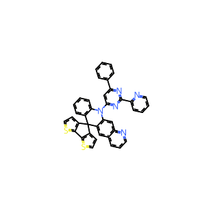 c1ccc(-c2cc(N3c4ccccc4C4(c5cc6cccnc6cc53)c3ccsc3-c3sccc34)nc(-c3ccccn3)n2)cc1